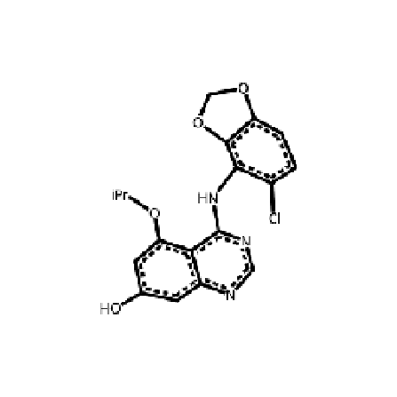 CC(C)Oc1cc(O)cc2ncnc(Nc3c(Cl)ccc4c3OCO4)c12